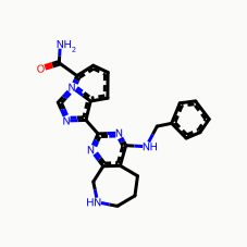 NC(=O)c1cccc2c(-c3nc4c(c(NCc5ccccc5)n3)CCCNC4)ncn12